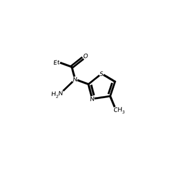 CCC(=O)N(N)c1nc(C)cs1